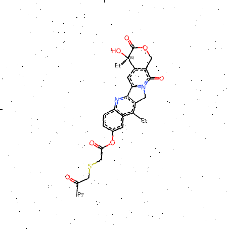 CCc1c2c(nc3ccc(OC(=O)CSCC(=O)C(C)C)cc13)-c1cc3c(c(=O)n1C2)COC(=O)[C@]3(O)CC